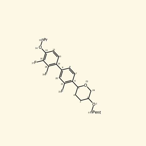 CCCCCOC1CCC(c2ccc(-c3ccc(OCCC)c(F)c3F)cc2F)OC1